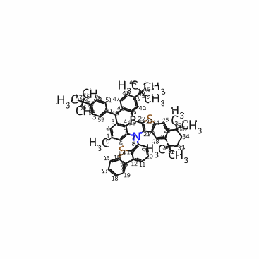 Cc1cc2c3c(c1)N(c1cccc4c1sc1ccccc14)c1c(sc4cc5c(cc14)C(C)(C)CCC5(C)C)B3c1cc(C(C)(C)C)ccc1C2c1ccc(C(C)(C)C)cc1